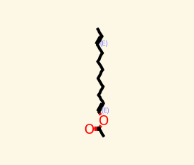 C/C=C/CCCCCC/C=C/OC(C)=O